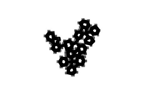 c1ccc(C2(c3ccccc3)c3ccccc3-c3ccc(N(c4ccc(-c5cccc6c5oc5ccccc56)cc4)c4cccc5oc6c(C7(c8ccccc8)c8ccccc8-c8ccccc87)cccc6c45)cc32)cc1